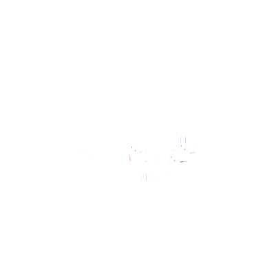 CCCCCCCCCCCCCCCCN(OC[C@H]1O[C@@H](n2ccc(=O)[nH]c2=O)C(OC)C1O)C(=O)CCCCC1CCSS1